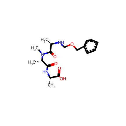 C[C@H](NC(=O)[C@H](C)N(C)C(=O)[C@H](C)NCOCc1ccccc1)C(=O)O